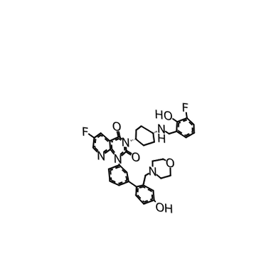 O=c1c2cc(F)cnc2n(-c2cccc(-c3ccc(O)cc3CN3CCOCC3)c2)c(=O)n1[C@H]1CC[C@@H](NCc2cccc(F)c2O)CC1